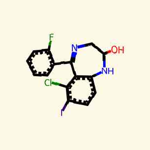 OC1CN=C(c2ccccc2F)c2c(ccc(I)c2Cl)N1